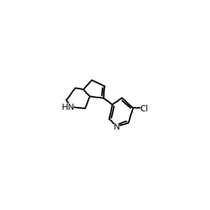 Clc1cncc(C2=CCC3CCNCC23)c1